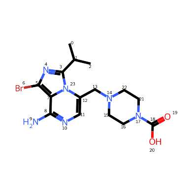 CC(C)c1nc(Br)c2c(N)ncc(CN3CCN(C(=O)O)CC3)n12